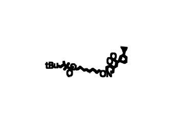 CC(CC(C)(C)C)C(C)(C)C(=O)OCCCCCCCCOc1cc2oc(=O)c(-c3cccc(C4CC4)c3)cc2cn1